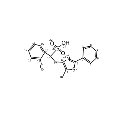 Cc1sc(-c2ccccc2)nc1CC(c1ccccc1Cl)S(=O)(=O)O